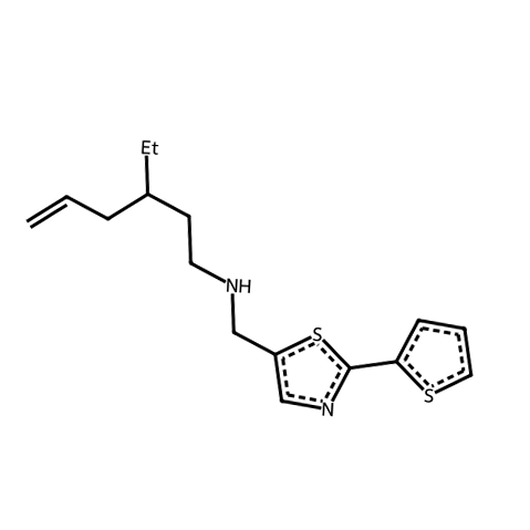 C=CCC(CC)CCNCc1cnc(-c2cccs2)s1